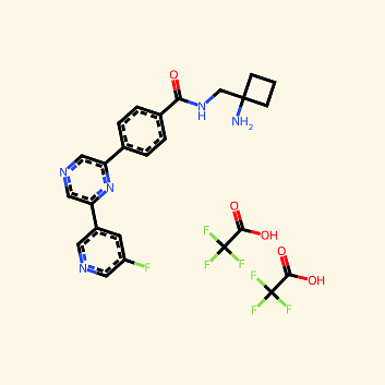 NC1(CNC(=O)c2ccc(-c3cncc(-c4cncc(F)c4)n3)cc2)CCC1.O=C(O)C(F)(F)F.O=C(O)C(F)(F)F